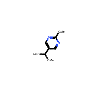 COc1ncc(C(OC)OC)cn1